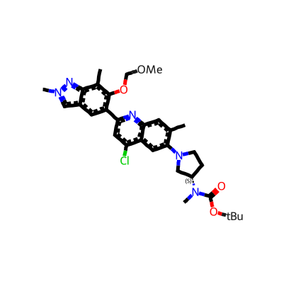 COCOc1c(-c2cc(Cl)c3cc(N4CC[C@H](N(C)C(=O)OC(C)(C)C)C4)c(C)cc3n2)cc2cn(C)nc2c1C